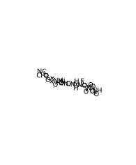 CC1(C)C(NC(=O)c2ccc(N3CCC(N4C[C@H]5CN(c6cc7c(cc6F)C(=O)N(C6CCC(=O)NC6=O)C7=O)C[C@H]5C4)CC3)nn2)C(C)(C)C1Oc1ccc(C#N)c(Cl)c1